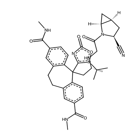 CNC(=O)c1ccc2c(c1)CCc1cc(C(=O)NC)ccc1C2(C[C@@H](C)NCC(=O)N1[C@H](C#N)C[C@@H]2C[C@@H]21)c1nc(=O)on1C(C)C